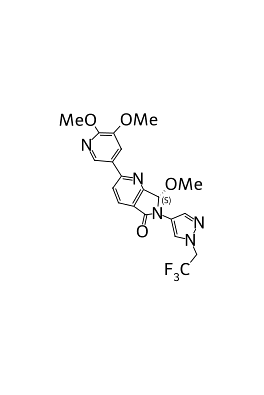 COc1cc(-c2ccc3c(n2)[C@H](OC)N(c2cnn(CC(F)(F)F)c2)C3=O)cnc1OC